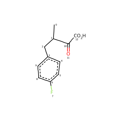 CC(Cc1ccc(F)cc1)C(=O)C(=O)O